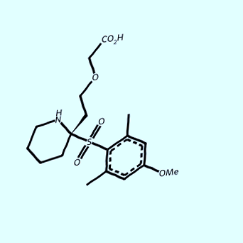 COc1cc(C)c(S(=O)(=O)[C@]2(CCOCC(=O)O)CCCCN2)c(C)c1